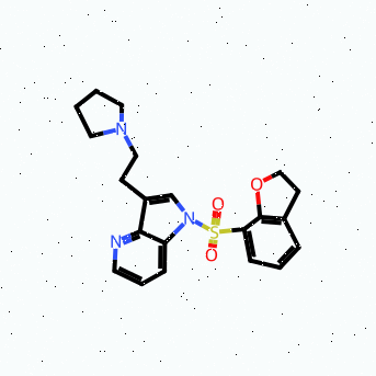 O=S(=O)(c1cccc2c1OCC2)n1cc(CCN2CCCC2)c2ncccc21